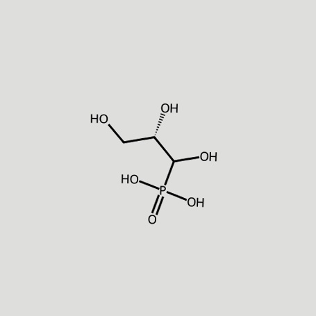 O=P(O)(O)C(O)[C@@H](O)CO